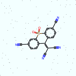 N#CC(C#N)=C1c2ccc(C#N)cc2S(=O)(=O)c2cc(C#N)ccc21